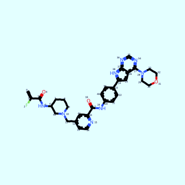 C=C(F)C(=O)NC1CCCN(Cc2ccnc(C(=O)Nc3ccc(-c4cc5c(N6CCOCC6)ncnc5[nH]4)cc3)c2)C1